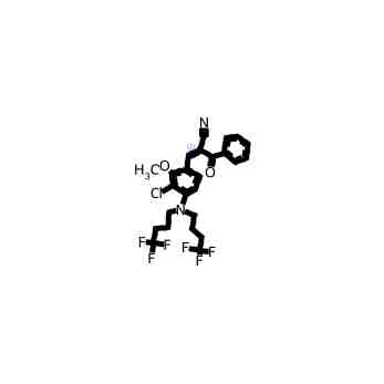 COc1c(/C=C(/C#N)C(=O)c2ccccc2)ccc(N(CCCC(F)(F)F)CCCC(F)(F)F)c1Cl